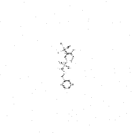 Cc1ccc(S(=O)(=O)OCCc2ccccc2)cc1C(F)(F)F